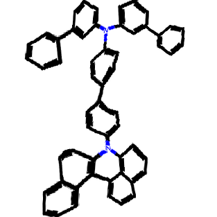 c1ccc(-c2cccc(N(c3ccc(-c4ccc(N5c6ccc7ccccc7c6-c6cccc7cccc5c67)cc4)cc3)c3cccc(-c4ccccc4)c3)c2)cc1